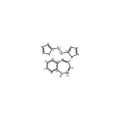 C1=CCC(SSC2=CC=CC2)=C1.C1=Cc2ccccc2SN=C1